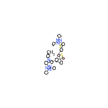 Cc1ccc(-n2c3cc(-c4ccc5c(c4)-c4ccccc4C54c5ccccc5Sc5c(-c6ccc7c(c6)sc6c(-c8nc(-c9ccccc9)nc(-c9ccccc9)n8)cccc67)cccc54)ccc3c3c(-c4nc(-c5ccccc5)nc(-c5ccccc5)n4)cccc32)cc1